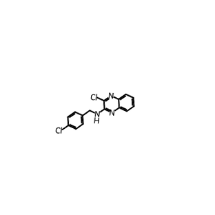 Clc1ccc(CNc2nc3ccccc3nc2Cl)cc1